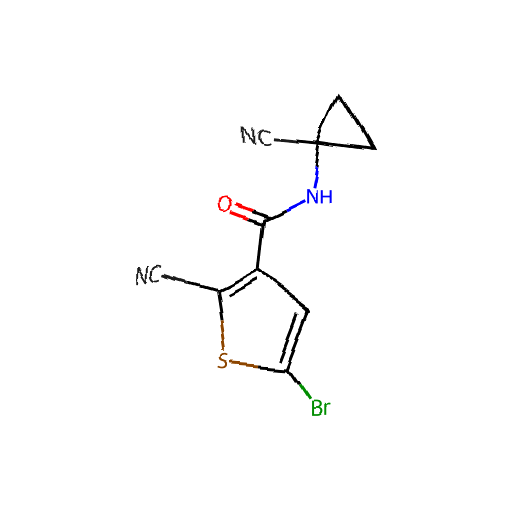 N#Cc1sc(Br)cc1C(=O)NC1(C#N)CC1